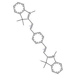 C[N+]1=C(/C=C/c2ccc(/C=C/C3=[N+](C)c4ccccc4C3(C)C)cc2)C(C)(C)c2ccccc21